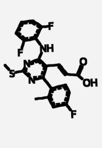 CSc1nc(Nc2c(F)cccc2F)c(/C=C/C(=O)O)c(-c2ccc(F)cc2C)n1